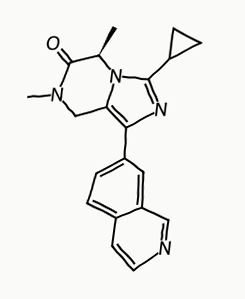 C[C@@H]1C(=O)N(C)Cc2c(-c3ccc4ccncc4c3)nc(C3CC3)n21